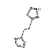 [CH](Cc1nccs1)c1cc[nH]n1